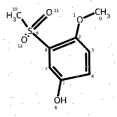 COc1ccc(O)cc1S(C)(=O)=O